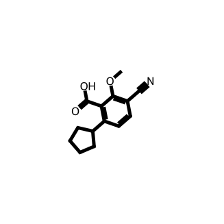 COc1c(C#N)ccc(C2CCCC2)c1C(=O)O